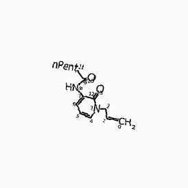 C=CCn1cccc(NC(=O)CCCCC)c1=O